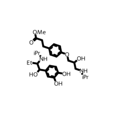 CCC(NC(C)C)C(O)c1ccc(O)c(O)c1.COC(=O)CCc1ccc(OCC(O)CNC(C)C)cc1